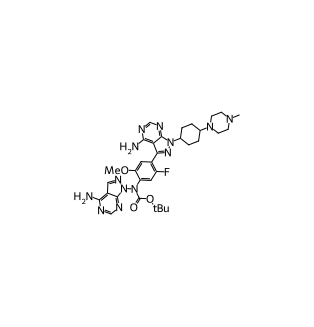 COc1cc(-c2nn(C3CCC(N4CCN(C)CC4)CC3)c3ncnc(N)c23)c(F)cc1N(C(=O)OC(C)(C)C)n1ncc2c(N)ncnc21